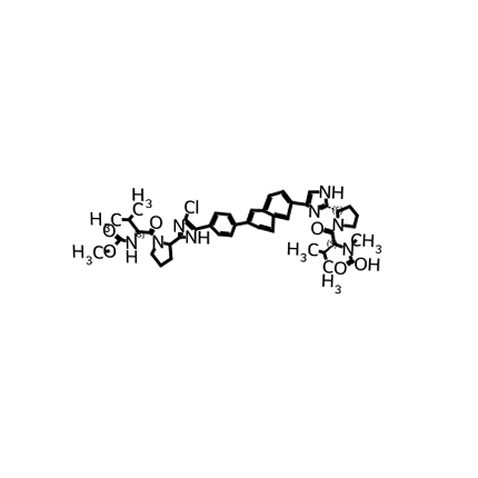 COC(=O)N[C@H](C(=O)N1CCCC1c1nc(Cl)c(-c2ccc(-c3ccc4cc(-c5c[nH]c([C@@H]6CCCN6C(=O)[C@H](C(C)C)N(C)C(=O)O)n5)ccc4c3)cc2)[nH]1)C(C)C